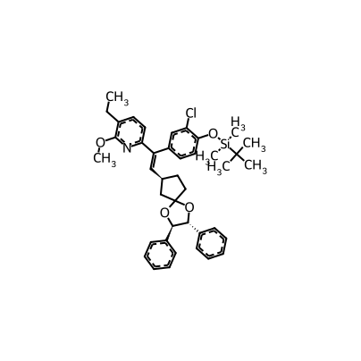 CCc1ccc(/C(=C/[C@H]2CCC3(C2)O[C@H](c2ccccc2)[C@@H](c2ccccc2)O3)c2ccc(O[Si](C)(C)C(C)(C)C)c(Cl)c2)nc1OC